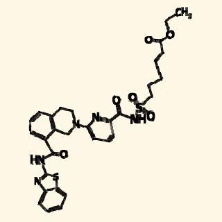 CCOC(=O)CCCCCS(=O)(=O)NC(=O)c1cccc(N2CCc3cccc(C(=O)Nc4nc5ccccc5s4)c3C2)n1